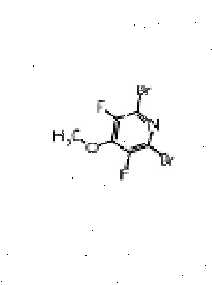 COc1c(F)c(Br)nc(Br)c1F